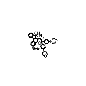 CSc1ccc2c3c(c4c(c2c1)OC(c1ccc(N2CCOCC2)cc1)(c1ccc(N2CCOCC2)cc1)C=C4)C(C)(C)c1ccccc1-3